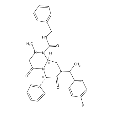 CC(c1ccc(F)cc1)N1C[C@H]2N(C(=O)CN(C)N2C(=O)NCc2ccccc2)[C@@H](c2ccccc2)C1=O